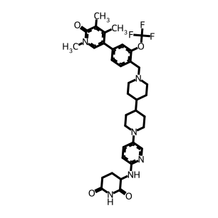 Cc1c(-c2ccc(CN3CCC(C4CCN(c5ccc(NC6CCC(=O)NC6=O)nc5)CC4)CC3)c(OC(F)(F)F)c2)cn(C)c(=O)c1C